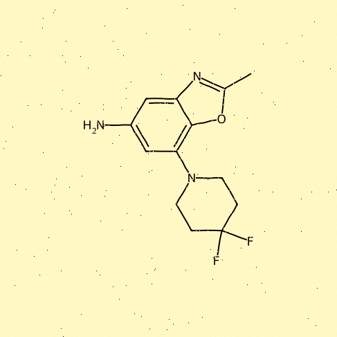 Cc1nc2cc(N)cc(N3CCC(F)(F)CC3)c2o1